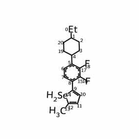 CCC1CCC(c2ccc(C3=CC=C(C)[SeH2]3)c(F)c2F)CC1